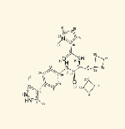 Cc1n[nH]c(C)c1-c1ccc(NC(=O)[C@@H](NC(=O)c2ccnn2C)C(C2CCC2)C2CCC2)cc1